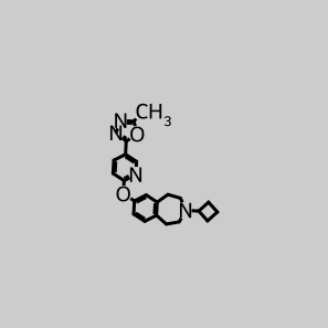 Cc1nnc(-c2ccc(Oc3ccc4c(c3)CCN(C3CCC3)CC4)nc2)o1